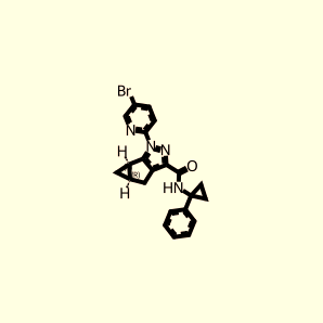 O=C(NC1(c2ccccc2)CC1)c1nn(-c2ccc(Br)cn2)c2c1C[C@H]1C[C@@H]21